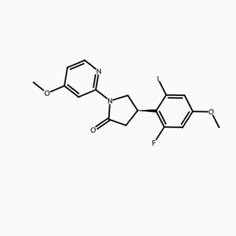 COc1ccnc(N2C[C@@H](c3c(F)cc(OC)cc3I)CC2=O)c1